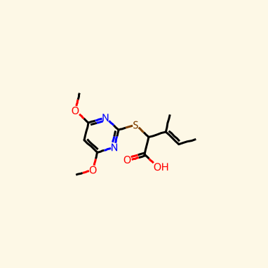 C/C=C(\C)C(Sc1nc(OC)cc(OC)n1)C(=O)O